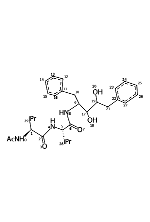 CC(=O)N[C@H](C(=O)N[C@H](C(=O)NC(Cc1ccccc1)C(O)C(O)Cc1ccccc1)C(C)C)C(C)C